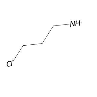 [NH]CCCCl